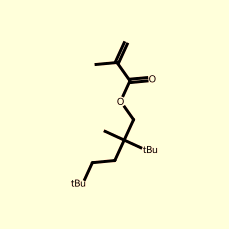 C=C(C)C(=O)OCC(C)(CCC(C)(C)C)C(C)(C)C